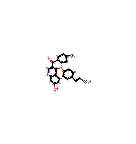 O=C(O)/C=C/c1ccc(Oc2c(C(=O)c3ccc(C(F)(F)F)cc3)cnc3cc(O)ccc23)cc1